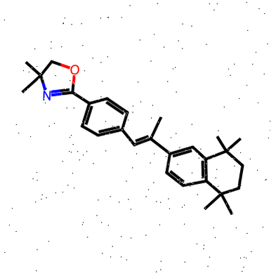 CC(=Cc1ccc(C2=NC(C)(C)CO2)cc1)c1ccc2c(c1)C(C)(C)CCC2(C)C